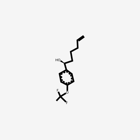 C=CCCC[C@H](O)c1ccc(OC(C)(F)F)cc1